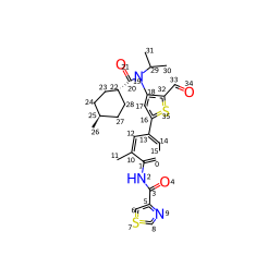 C=C(NC(=O)c1cscn1)/C(C)=C\C(=C/C)c1cc(N(C(=O)[C@H]2CC[C@H](C)CC2)C(C)C)c(C=O)s1